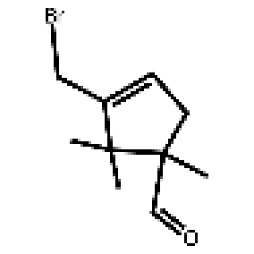 CC1(C=O)CC=C(CBr)C1(C)C